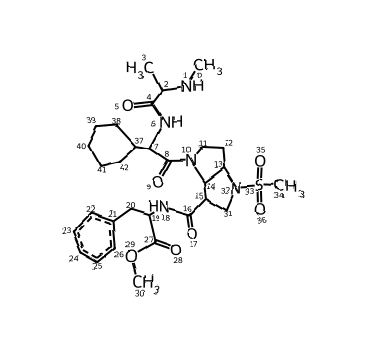 CNC(C)C(=O)NC(C(=O)N1CCC2C1C(C(=O)NC(Cc1ccccc1)C(=O)OC)CN2S(C)(=O)=O)C1CCCCC1